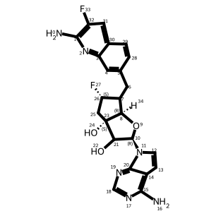 Nc1nc2cc(CC3[C@H]4O[C@@H](n5ccc6c(N)ncnc65)C(O)[C@@]4(O)C[C@@H]3F)ccc2cc1F